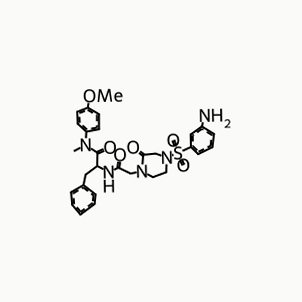 COc1ccc(N(C)C(=O)C(Cc2ccccc2)NC(=O)CN2CCN(S(=O)(=O)c3cccc(N)c3)CC2=O)cc1